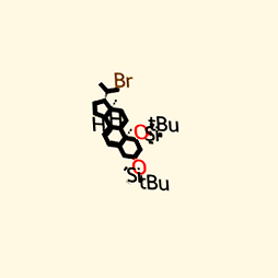 CC(CBr)[C@H]1CC[C@H]2C3=CC=C4CC(O[Si](C)(C)C(C)(C)C)CC(O[Si](C)(C)C(C)(C)C)[C@]4(C)[C@H]3CC[C@]12C